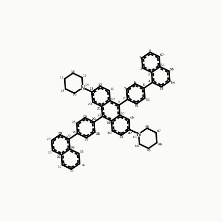 c1ccc2c(-c3ccc(-c4c5ccc(N6CCCCC6)cc5c(-c5ccc(-c6cccc7ccccc67)cc5)c5ccc(N6CCCCC6)cc45)cc3)cccc2c1